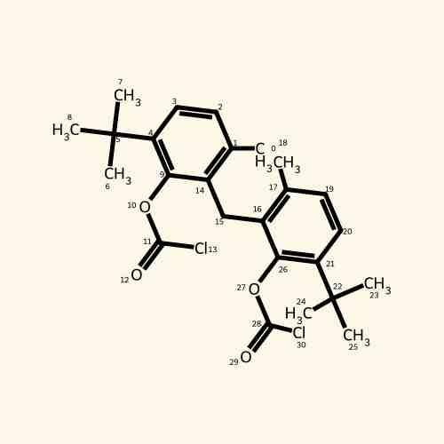 Cc1ccc(C(C)(C)C)c(OC(=O)Cl)c1Cc1c(C)ccc(C(C)(C)C)c1OC(=O)Cl